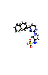 CS(=O)(=O)NC1CCN(c2nccc(-c3ccc4ccccc4c3)n2)C1